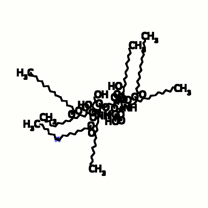 CCCCCC/C=C\CCCCCCCC(=O)OC(CCCCCCCCCCC)CC(=O)N[C@H]1C(OC(=O)CC(CCCCCCCCCCC)OC(=O)CCCCCCCCCCCCCCC)C(O)C(CO)O[C@H]1OCC1OC(OP(=O)(O)O)[C@@H](NC(=O)CC(CCCCCCCCCCC)OC(=O)CCCCCCCCCCCCCCC)C(OC(=O)CC(O)CCCCCCCCCCC)[C@@H]1O